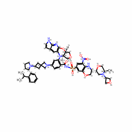 CC(C)c1ccccc1[C@@H]1CCCN1C1CC2(C1)CN(c1ccc(C(=O)NS(=O)(=O)c3cc4c(c([N+](=O)[O-])c3)N[C@H](C3CN(C5COC5)[C@H](C)CO3)CO4)c(N3c4cc5cc[nH]c5nc4O[C@@H]4COC[C@H]43)c1)C2